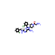 C=C(/N=C\c1nc(-c2ccccc2Cl)n(C2CCN(C(=O)CN)CC2)c1N)NCc1ccccc1F